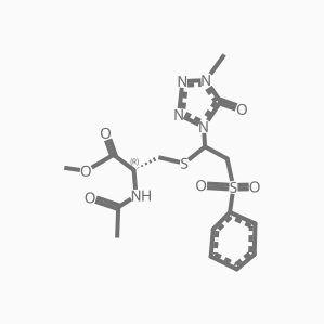 COC(=O)[C@H](CSC(CS(=O)(=O)c1ccccc1)n1nnn(C)c1=O)NC(C)=O